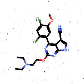 CCN(CC)CCOc1nc(-c2cc(OC)c(Cl)cc2Cl)c2c(C#N)c[nH]c2n1